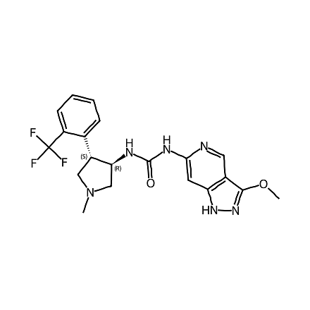 COc1n[nH]c2cc(NC(=O)N[C@H]3CN(C)C[C@@H]3c3ccccc3C(F)(F)F)ncc12